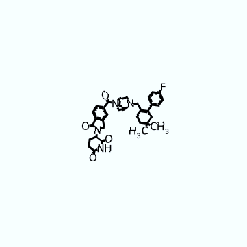 CC1(C)CCC(CN2CC3CC2CN3C(=O)c2ccc3c(c2)CN(C2CCC(=O)NC2=O)C3=O)=C(c2ccc(F)cc2)C1